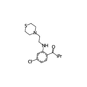 CC(C)C(=O)c1ccc(Cl)cc1NCCN1CCSCC1